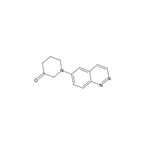 O=C1CCCN(c2ccc3nnccc3c2)C1